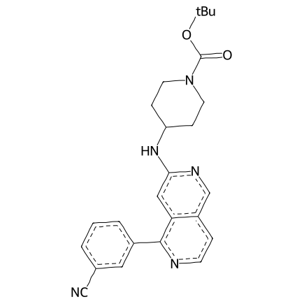 CC(C)(C)OC(=O)N1CCC(Nc2cc3c(-c4cccc(C#N)c4)nccc3cn2)CC1